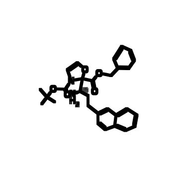 CC(C)(C)OC(=O)N1C=COC1(C(=O)OCc1ccccc1)[C@H](N)CCc1ccc2ccccc2c1